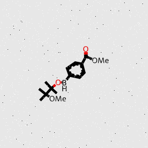 COC(=O)c1ccc(BOC(C)(C)C(C)(C)OC)cc1